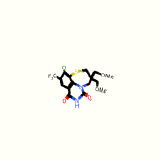 COCC1(COC)CSc2c(Cl)c(C(F)(F)F)cc3c(=O)[nH]c(=O)n(c23)C1